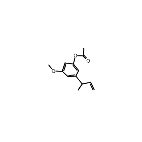 C=C[C](C)c1cc(OC)cc(OC(C)=O)c1